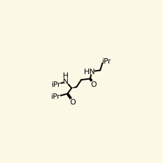 CC(C)CNC(=O)CC[C@H](NC(C)C)C(=O)C(C)C